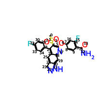 CS(=O)(=O)c1c(Oc2ccc(C(N)=O)c(F)c2)nc2cc3[nH]ncc3cc2c1-c1ccc(F)cc1